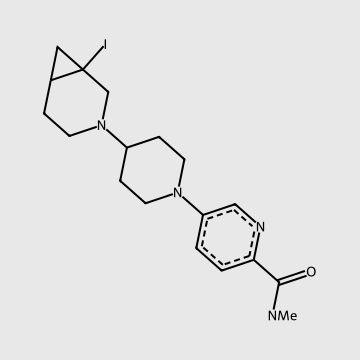 CNC(=O)c1ccc(N2CCC(N3CCC4CC4(I)C3)CC2)cn1